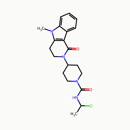 CC(Cl)NC(=O)N1CCC(N2CCc3c(c4ccccc4n3C)C2=O)CC1